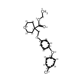 CCOC(=O)C1(CSc2ccc(Oc3ccc(Cl)cc3)cc2)CCOCC1